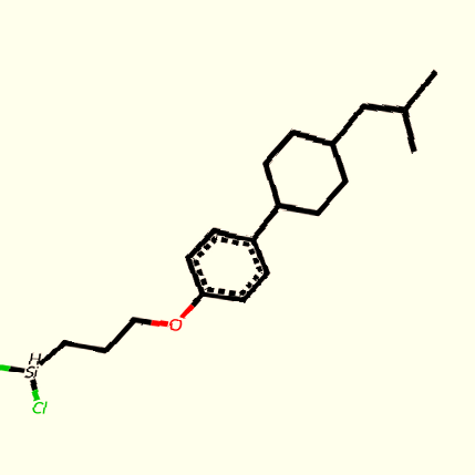 CC(C)CC1CCC(c2ccc(OCCC[SiH](Cl)Cl)cc2)CC1